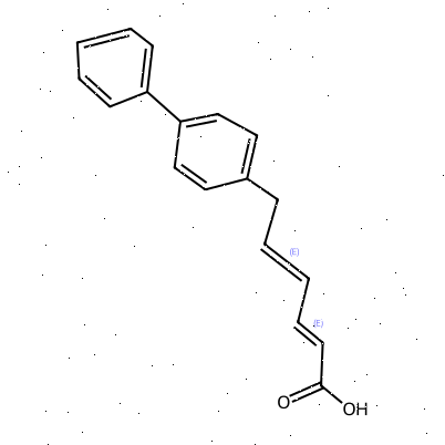 O=C(O)/C=C/C=C/Cc1ccc(-c2ccccc2)cc1